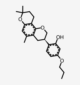 CCCOc1ccc([C@@H]2COc3c(c(C)cc4c3CCC(C)(C)O4)C2)c(O)c1